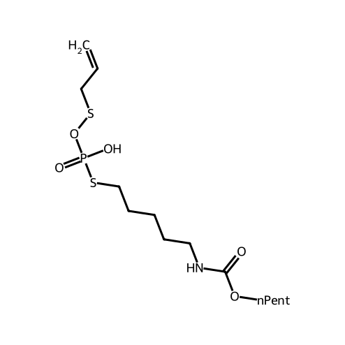 C=CCSOP(=O)(O)SCCCCCNC(=O)OCCCCC